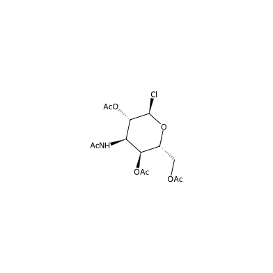 CC(=O)N[C@H]1[C@H](OC(C)=O)[C@@H](Cl)O[C@H](COC(C)=O)[C@H]1OC(C)=O